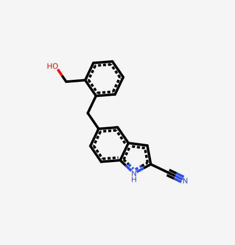 N#Cc1cc2cc(Cc3ccccc3CO)ccc2[nH]1